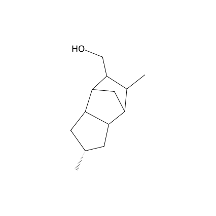 CC1C(CO)C2CC1C1C[C@H](C)CC21